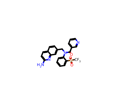 Nc1ccc2ccc(CN(C(=O)c3cccnc3)c3ccccc3S(=O)(=O)C(F)(F)F)cc2n1